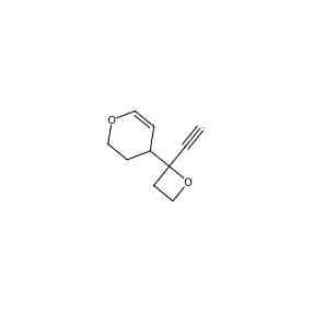 [C]#CC1(C2C=COCC2)CCO1